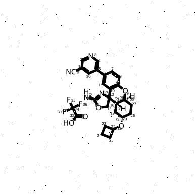 N#Cc1cncc(-c2ccc3c(c2)C2(COC(N)=N2)[C@H]2C[C@@H](OC4CCC4)CC[C@@H]2O3)c1.O=C(O)C(F)(F)F